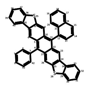 c1ccc(-c2c3cc4c(cc3c(-c3cccc5ccccc35)c3cc5c(cc23)sc2ccccc25)sc2ccccc24)cc1